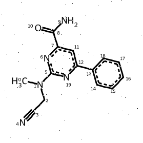 CN(CC#N)c1nc(C(N)=O)cc(-c2ccccc2)n1